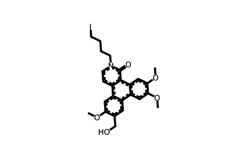 COc1cc2c(cc1CO)c1cc(OC)c(OC)cc1c1c(=O)n(CCCCI)ccc21